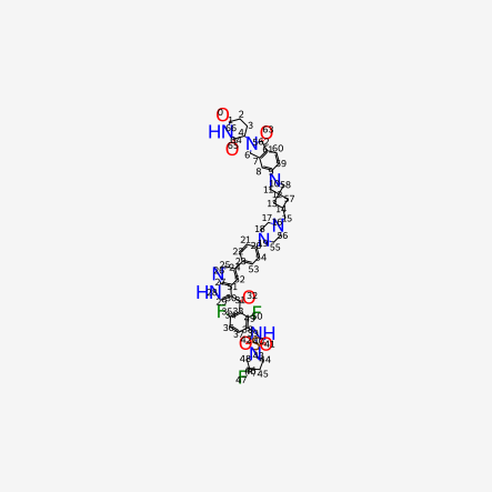 O=C1CCC(N2Cc3cc(N4CC5(CC(CN6CCN(c7ccc(-c8cnc9[nH]cc(C(=O)c%10c(F)ccc(NS(=O)(=O)N%11CC[C@@H](F)C%11)c%10F)c9c8)cc7)CC6)C5)C4)ccc3C2=O)C(=O)N1